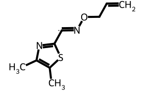 C=CCO/N=[C]/c1nc(C)c(C)s1